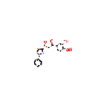 O=C(C[S+]([O-])c1nc(-c2ccccc2)cs1)c1ccc(O)c(O)c1